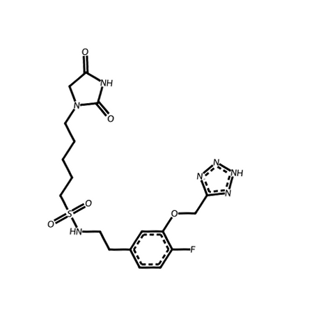 O=C1CN(CCCCCS(=O)(=O)NCCc2ccc(F)c(OCc3nn[nH]n3)c2)C(=O)N1